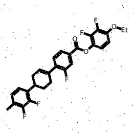 CCOc1ccc(OC(=O)c2ccc(C3=CCC(c4ccc(C)c(F)c4F)CC3)c(F)c2)c(F)c1F